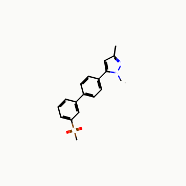 CCC(C)n1nc(C)cc1-c1ccc(-c2cccc(S(C)(=O)=O)c2)cc1